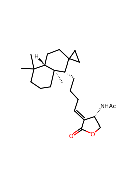 CC(=O)N[C@@H]1COC(=O)/C1=C/CCC[C@H]1C2(CC[C@H]3C(C)(C)CCC[C@@]31C)CC2